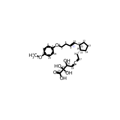 COc1ccc(OCC/C=C/[C@H]2CCC[C@@H]2CC=C=CC(O)C(O)(O)C(=O)O)cc1